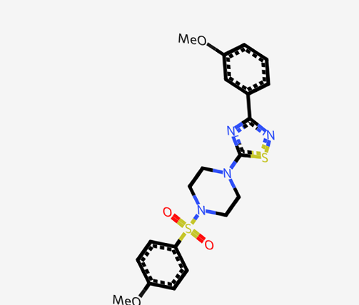 COc1ccc(S(=O)(=O)N2CCN(c3nc(-c4cccc(OC)c4)ns3)CC2)cc1